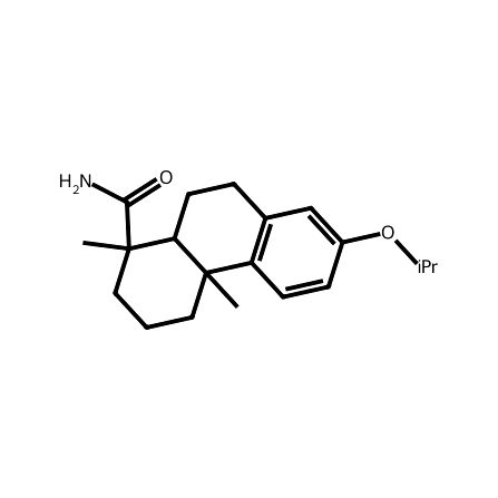 CC(C)Oc1ccc2c(c1)CCC1C(C)(C(N)=O)CCCC21C